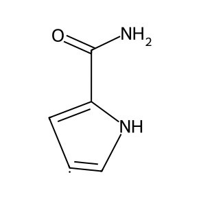 NC(=O)c1c[c]c[nH]1